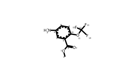 COC(=O)c1cc(N)ccc1OC(F)(F)F